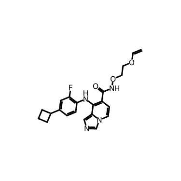 C=COCCONC(=O)c1ccn2cncc2c1Nc1ccc(C2CCC2)cc1F